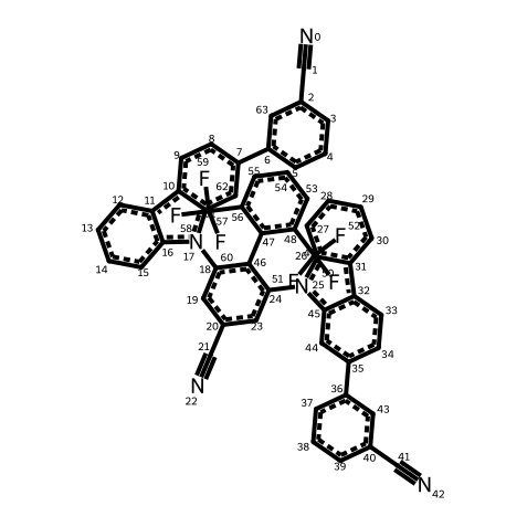 N#Cc1cccc(-c2ccc3c4ccccc4n(-c4cc(C#N)cc(-n5c6ccccc6c6ccc(-c7cccc(C#N)c7)cc65)c4-c4c(C(F)(F)F)cccc4C(F)(F)F)c3c2)c1